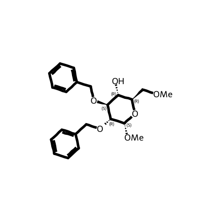 COC[C@H]1O[C@H](OC)[C@H](OCc2ccccc2)[C@@H](OCc2ccccc2)[C@@H]1O